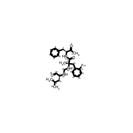 CC(=O)[C@H](Cc1ccccc1)NC(=O)[C@](C)(Cc1ccccc1F)NCN[C@H](C=O)CC(C)C